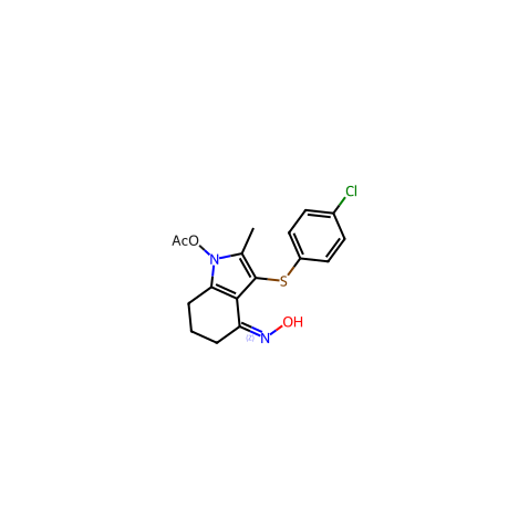 CC(=O)On1c(C)c(Sc2ccc(Cl)cc2)c2c1CCC/C2=N/O